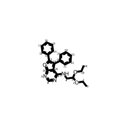 CCOC(CNc1ncnc2oc(-c3ccccc3)c(-c3ccccc3)c12)OCC